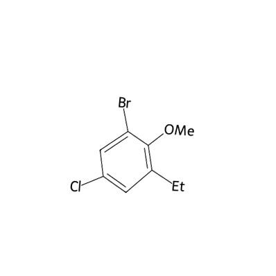 CCc1cc(Cl)cc(Br)c1OC